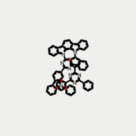 c1ccc(-c2nc(-c3ccccc3)nc(-c3ccc(-n4c5ccccc5c5ccc6c7ccccc7n(-c7nc(-c8ccccc8)nc(-c8ccc9c%10ccccc%10n(-c%10ccccc%10)c9c8)n7)c6c54)cc3)n2)cc1